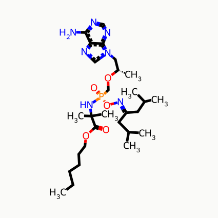 CCCCCCOC(=O)C(C)(C)NP(=O)(CO[C@@H](C)Cn1cnc2c(N)ncnc21)ON=C(CC(C)C)CC(C)C